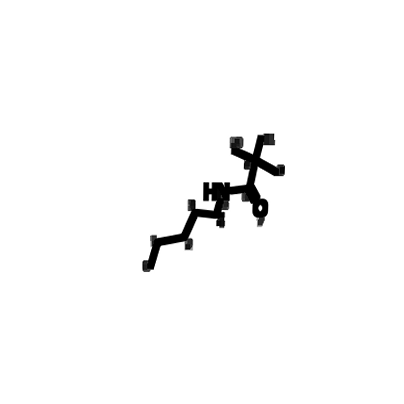 CCCC[CH]NC(=O)C(C)(C)C